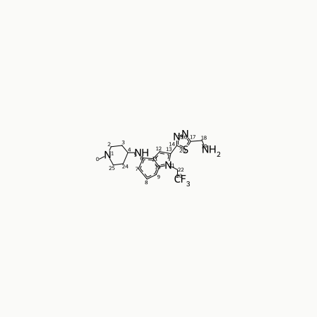 CN1CCC(Nc2cccc3c2cc(-c2nnc(CN)s2)n3CC(F)(F)F)CC1